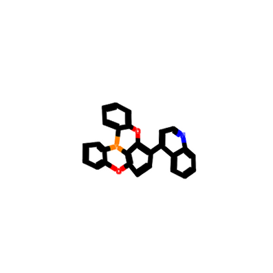 c1ccc2c(c1)Oc1ccc(-c3ccnc4ccccc34)c3c1P2c1ccccc1O3